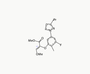 CO/C=C(\Oc1cc(-n2ccc(C(C)C)n2)cc(F)c1C)C(=O)OC